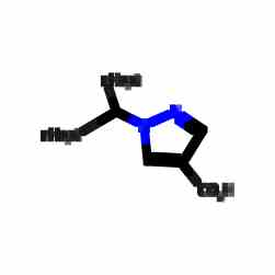 CCCCCCCC(CCCCCCC)n1cc(C(=O)O)cn1